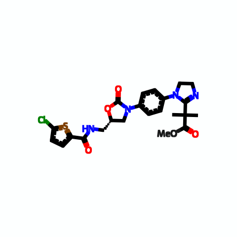 COC(=O)C(C)(C)C1=NCCN1c1ccc(N2C[C@H](CNC(=O)c3ccc(Cl)s3)OC2=O)cc1